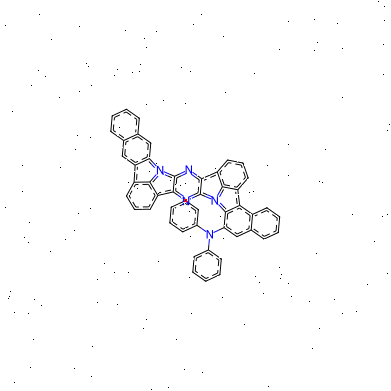 c1ccc(N(c2ccccc2)c2cc3ccccc3c3c4cccc5c6nc7c(nc6n(c23)c54)c2cccc3c4cc5ccccc5cc4n7c32)cc1